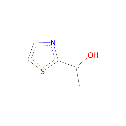 C[C](O)c1nccs1